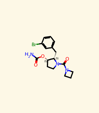 NC(=O)O[C@H]1CCN(C(=O)N2CCC2)[C@H]1Cc1cccc(Br)c1